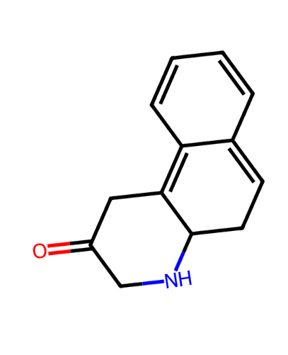 O=C1CNC2CC=c3ccccc3=C2C1